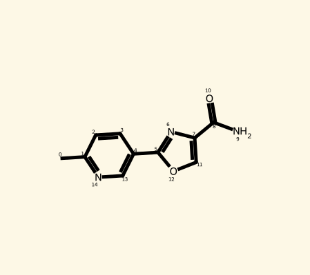 Cc1ccc(-c2nc(C(N)=O)co2)cn1